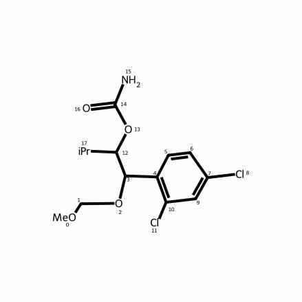 COCOC(c1ccc(Cl)cc1Cl)C(OC(N)=O)C(C)C